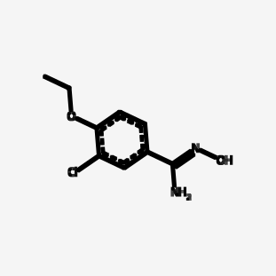 CCOc1ccc(/C(N)=N/O)cc1Cl